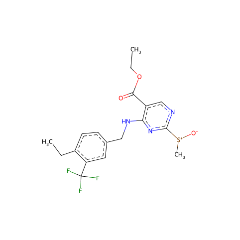 CCOC(=O)c1cnc([S+](C)[O-])nc1NCc1ccc(CC)c(C(F)(F)F)c1